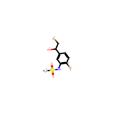 CS(=O)(=O)Nc1cc(C(O)CBr)ccc1Br